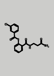 NC(=O)CCNC(=O)c1ccccc1SC(=O)c1cccc(Cl)c1